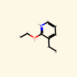 CCOc1ncccc1CC